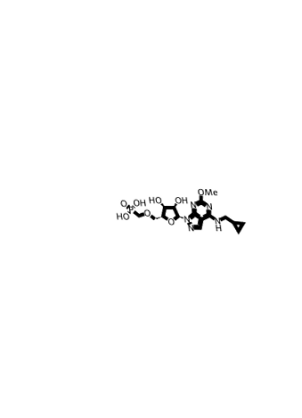 COc1nc(NCC2CC2)c2cnn([C@@H]3O[C@H](COCP(=O)(O)O)[C@@H](O)[C@H]3O)c2n1